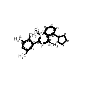 Cc1cc(C)c(C)c(-c2nc(C)c3c(C4CCCC4)cccc3[n+]2C)c1